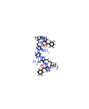 CCCCc1nn(-c2cc(-n3nc(CCCC)c(/N=N/c4c(C(=O)c5ccccc5)cnn4C)c3N)ncn2)c(N)c1/N=N/c1c(C(=O)c2ccccc2)cnn1C